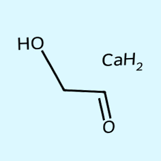 O=CCO.[CaH2]